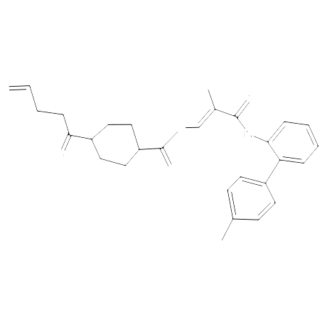 C=CCCC(=O)C1CCC(C(=C)S/C=C(\C)C(=O)Nc2ccccc2-c2ccc(C)cc2)CC1